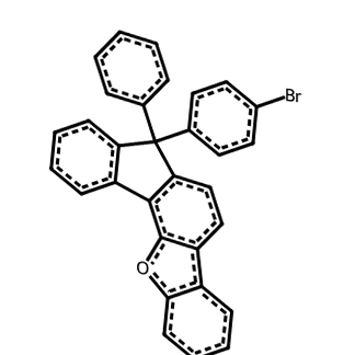 Brc1ccc(C2(c3ccccc3)c3ccccc3-c3c2ccc2c3oc3ccccc32)cc1